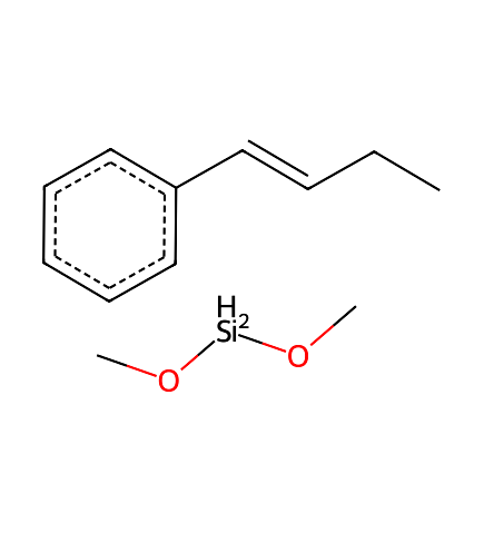 CCC=Cc1ccccc1.CO[SiH2]OC